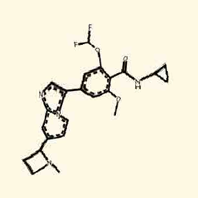 COc1cc(-c2cnc3cc(C4CCN4C)ccn23)cc(OC(F)F)c1C(=O)NC1CC1